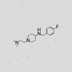 CN(C)CCN1CCC(NCc2ccc(F)cc2)CC1